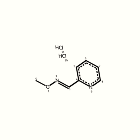 CON=Cc1ccccn1.Cl.Cl